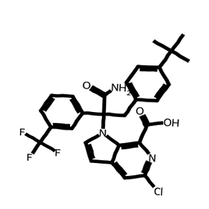 CC(C)(C)c1ccc(CC(C(N)=O)(c2cccc(C(F)(F)F)c2)n2ccc3cc(Cl)nc(C(=O)O)c32)cc1